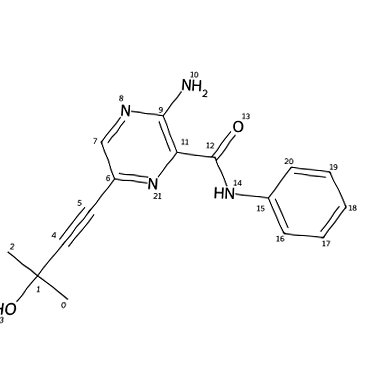 CC(C)(O)C#Cc1cnc(N)c(C(=O)Nc2ccccc2)n1